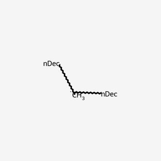 CCCCCCCCCCCCCCCCCCCCCCCCCCC[CH]C(C)CCCCCCCCCCCCCCCCCCCCCCCCC